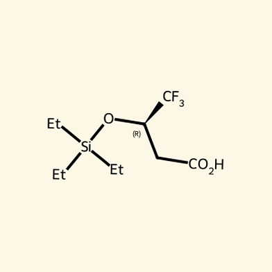 CC[Si](CC)(CC)O[C@H](CC(=O)O)C(F)(F)F